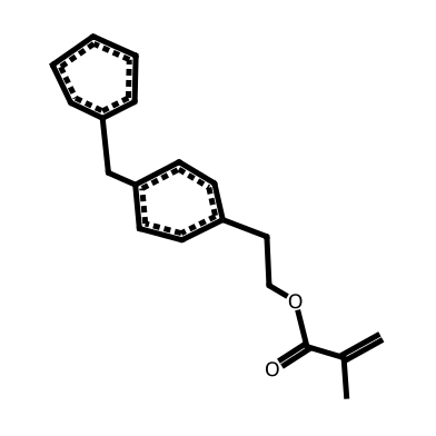 C=C(C)C(=O)OCCc1ccc(Cc2ccccc2)cc1